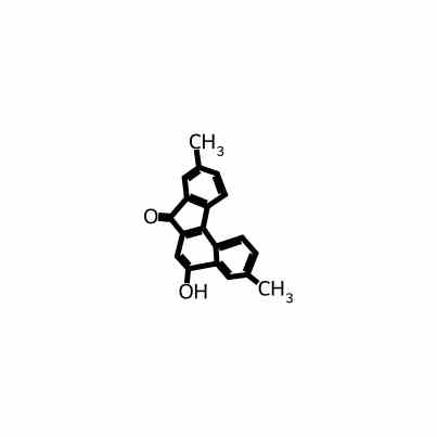 Cc1ccc2c(c1)C(=O)c1cc(O)c3cc(C)ccc3c1-2